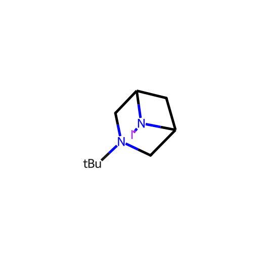 CC(C)(C)N1CC2CC(C1)N2I